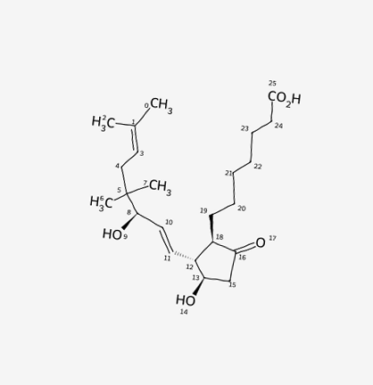 CC(C)=CCC(C)(C)[C@H](O)C=C[C@H]1[C@H](O)CC(=O)[C@@H]1CCCCCCC(=O)O